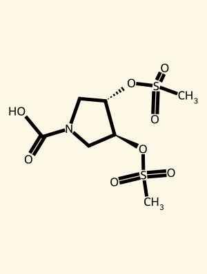 CS(=O)(=O)O[C@H]1CN(C(=O)O)C[C@@H]1OS(C)(=O)=O